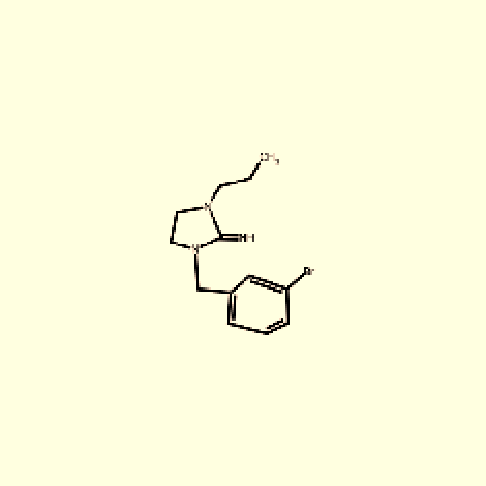 CCCN1CCN(Cc2cccc(Br)c2)C1=N